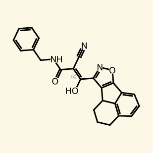 N#C/C(C(=O)NCc1ccccc1)=C(/O)c1noc2c1C1CCCc3cccc-2c31